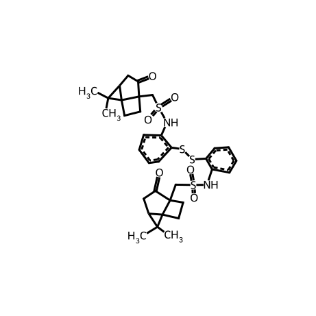 CC1(C)C2CC(=O)C3(CS(=O)(=O)Nc4ccccc4SSc4ccccc4NS(=O)(=O)CC45CCC46C(CC5=O)C6(C)C)CCC231